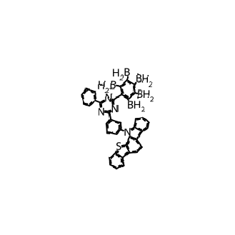 Bc1c(B)c(B)c(-c2nc(-c3ccccc3)nc(-c3cccc(-n4c5ccccc5c5ccc6c7ccccc7sc6c54)c3)n2)c(B)c1B